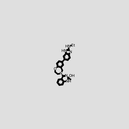 CCNc1nc2ccc(-c3ccc4c(c3)CN(C3=NC(C)(O)Nc5ccccc53)CCO4)cc2[nH]1